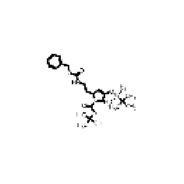 CC(C)(C)OC(=O)N1CC(O[Si](C)(C)C(C)(C)C)=CC1CCNC(=O)OCc1ccccc1